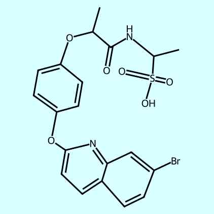 CC(Oc1ccc(Oc2ccc3ccc(Br)cc3n2)cc1)C(=O)NC(C)S(=O)(=O)O